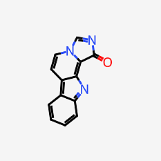 O=C1N=Cn2ccc3c4ccccc4nc-3c21